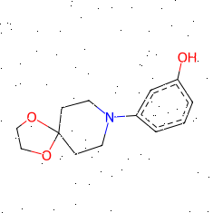 Oc1cccc(N2CCC3(CC2)OCCO3)c1